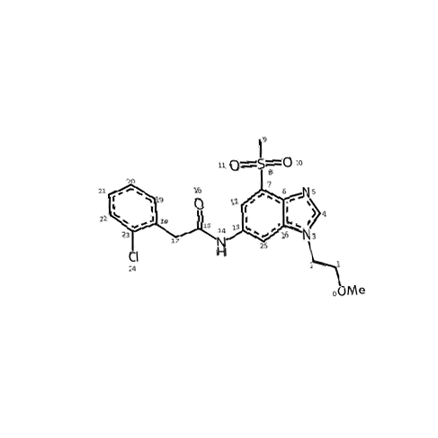 COCCn1cnc2c(S(C)(=O)=O)cc(NC(=O)Cc3ccccc3Cl)cc21